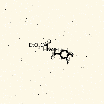 CCOC(=O)C(=O)NNC(=O)c1ccc(F)c(F)c1